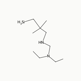 CCN(CC)CNCC(C)(C)C[SiH3]